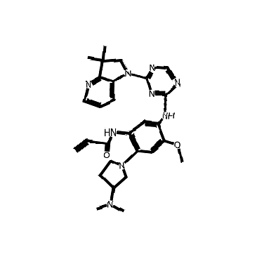 C=CC(=O)Nc1cc(Nc2ncnc(N3CC(C)(C)c4ncccc43)n2)c(OC)cc1N1CCC(N(C)C)C1